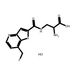 Cl.NC(CNC(=O)c1cc2nccc(CF)c2s1)C(=O)O